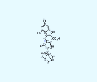 O=C(O)c1[nH]c2cc(Cl)cc(Cl)c2c1/C=C1\CNN(C2C3CC4CC(C3)CC2C4)C1=O